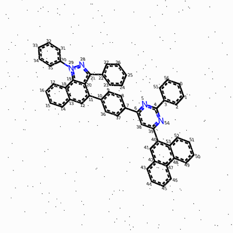 c1ccc(-c2nc(-c3ccc(-c4cc5ccccc5c5c4c(-c4ccccc4)nn5-c4ccccc4)cc3)cc(-c3cc4ccccc4c4ccccc34)n2)cc1